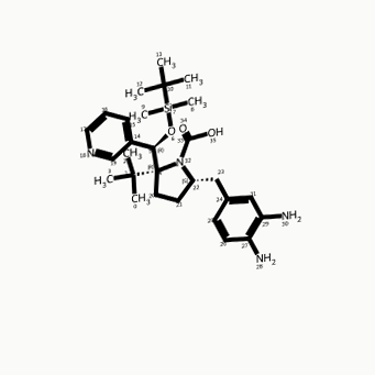 CC(C)(C)[C@@]1([C@H](O[Si](C)(C)C(C)(C)C)c2cccnc2)CC[C@@H](Cc2ccc(N)c(N)c2)N1C(=O)O